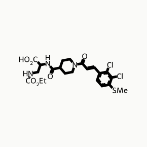 CCOC(=O)NCC(NC(=O)C1CCN(C(=O)C=Cc2ccc(SC)c(Cl)c2Cl)CC1)C(=O)O